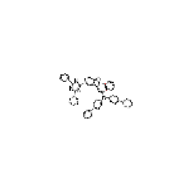 c1ccc(-c2ccc(N(c3ccc4oc5ccc(-c6nc(-c7ccccc7)nc(-c7ccccc7)n6)cc5c4c3)c3ccc(-c4ccccc4)cc3-c3ccccc3)cc2)cc1